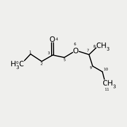 CCCC(=O)COC(C)CCC